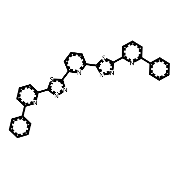 c1ccc(-c2cccc(-c3nnc(-c4cccc(-c5nnc(-c6cccc(-c7ccccc7)n6)s5)n4)s3)n2)cc1